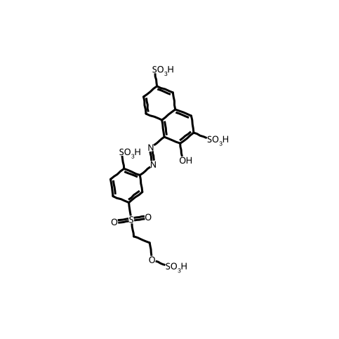 O=S(=O)(O)OCCS(=O)(=O)c1ccc(S(=O)(=O)O)c(/N=N/c2c(O)c(S(=O)(=O)O)cc3cc(S(=O)(=O)O)ccc23)c1